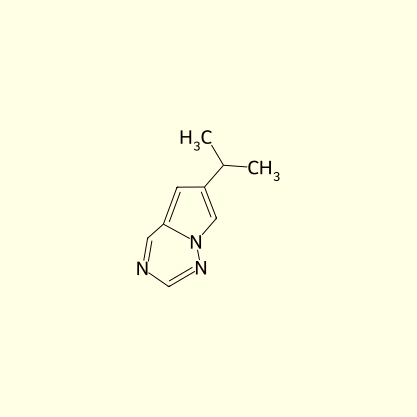 CC(C)c1cc2cncnn2c1